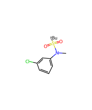 CN(c1cccc(Cl)c1)S(=O)(=O)C(C)(C)C